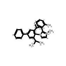 Cc1ccccc1-c1n(-c2c(C(C)C)cc(-c3ccccc3)cc2C(C)C)cc[n+]1C